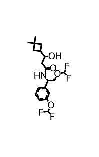 CC1(C)CC(C(O)CC(=O)N[C@@H](COC(F)F)c2cccc(OC(F)F)c2)C1